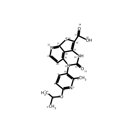 Cc1nc(OC(C)C)ccc1N1C(=O)Nc2c(C(=O)O)sc3nccc1c23